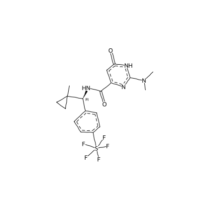 CN(C)c1nc(C(=O)N[C@@H](c2ccc(S(F)(F)(F)(F)F)cc2)C2(C)CC2)cc(=O)[nH]1